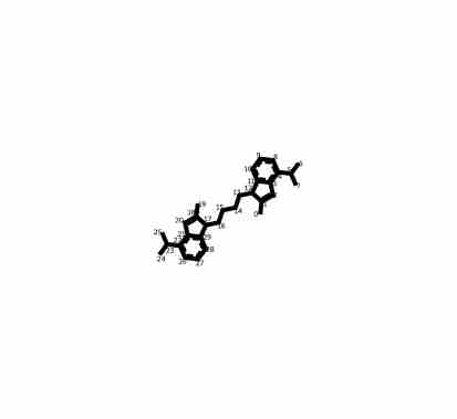 CC1=Cc2c(C(C)C)cccc2C1CCCCC1C(C)=Cc2c(C(C)C)cccc21